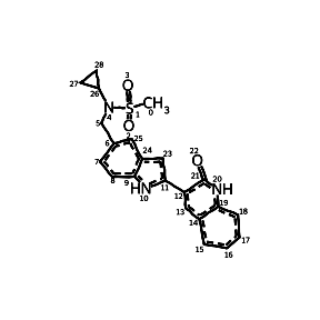 CS(=O)(=O)N(Cc1ccc2[nH]c(-c3cc4ccccc4[nH]c3=O)cc2c1)C1CC1